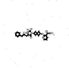 C/C(=C\c1ccccc1)CC1NC(=O)N([C@H]2CC3(C[C@H](Oc4ncccc4C(N)=O)C3)C2)C1=O